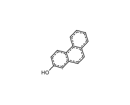 Oc1[c]c2ccc3ccccc3c2cc1